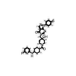 O=C(C1CCC(Nc2cccc(F)n2)CC1)N1CCC(O)(Cn2cnc3c(cnn3-c3ccc(F)cc3)c2=O)CC1